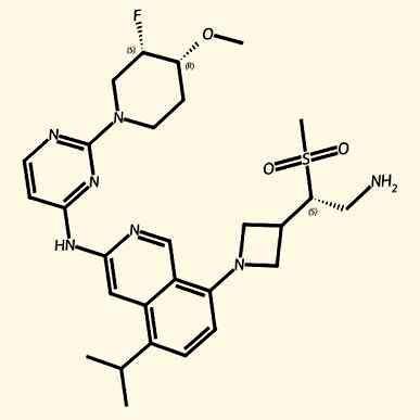 CO[C@@H]1CCN(c2nccc(Nc3cc4c(C(C)C)ccc(N5CC([C@@H](CN)S(C)(=O)=O)C5)c4cn3)n2)C[C@@H]1F